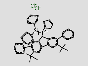 CC(C)(C)c1cc2c(cc1-c1ccccc1)[CH]([Hf+2]([C]1=CC=CC1)=[Si](c1ccccc1)c1ccccc1)c1cc(-c3ccccc3)c(C(C)(C)C)cc1-2.[Cl-].[Cl-]